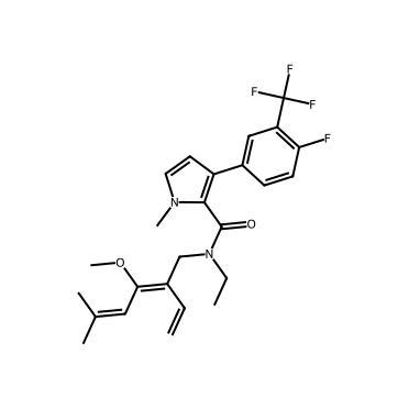 C=C/C(CN(CC)C(=O)c1c(-c2ccc(F)c(C(F)(F)F)c2)ccn1C)=C(\C=C(C)C)OC